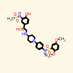 COc1ccc(OC)c(S(=O)(=O)Nc2ccc(N3CCC(NC[C@@H](O)c4ccc(O)c(NS(C)(=O)=O)c4)CC3)cc2)c1